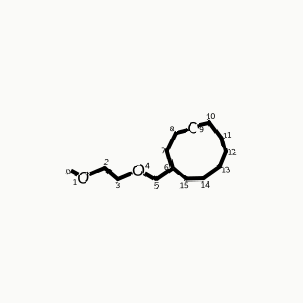 COCCOCC1CCCCCCCCC1